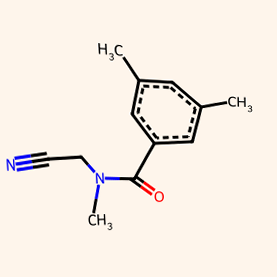 Cc1cc(C)cc(C(=O)N(C)CC#N)c1